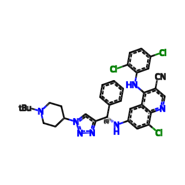 CC(C)(C)N1CCC(n2cc([C@@H](Nc3cc(Cl)c4ncc(C#N)c(Nc5cc(Cl)ccc5Cl)c4c3)c3ccccc3)nn2)CC1